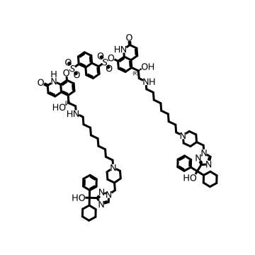 O=c1ccc2c([C@@H](O)CNCCCCCCCCCN3CCC(Cn4cnc(C(O)(c5ccccc5)C5CCCCC5)n4)CC3)ccc(OS(=O)(=O)c3cccc4c(S(=O)(=O)Oc5ccc([C@@H](O)CNCCCCCCCCCN6CCC(Cn7cnc(C(O)(c8ccccc8)C8CCCCC8)n7)CC6)c6ccc(=O)[nH]c56)cccc34)c2[nH]1